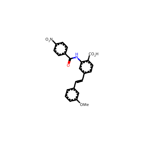 COc1cccc(C=Cc2ccc(C(=O)O)c(NC(=O)c3ccc([N+](=O)[O-])cc3)c2)c1